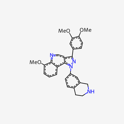 COc1ccc(-c2nn(-c3ccc4c(c3)CNCC4)c3c2cnc2c(OC)cccc23)cc1OC